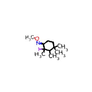 CO/N=C1\CCC(C)(C)C(C)C1(C)I